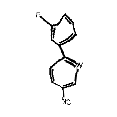 O=Nc1ccc(-c2cccc(F)c2)nc1